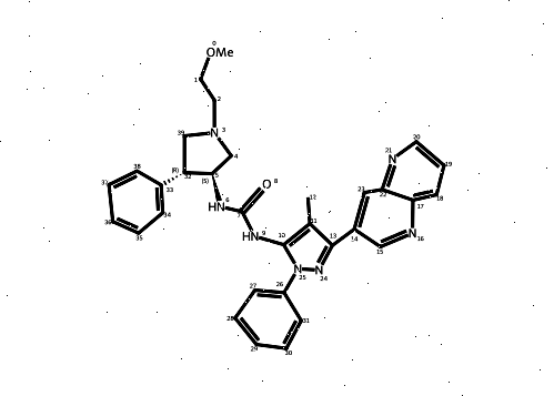 COCCN1C[C@@H](NC(=O)Nc2c(C)c(-c3cnc4cccnc4c3)nn2-c2ccccc2)[C@H](c2ccccc2)C1